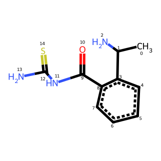 CC(N)c1ccccc1C(=O)NC(N)=S